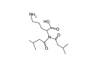 CC(C)CC(=O)N(C(=O)CC(C)C)C(CCCN)C(=O)O